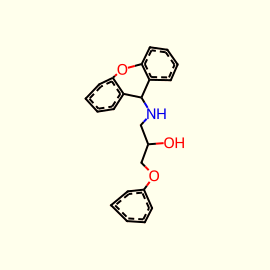 OC(CNC1c2ccccc2Oc2ccccc21)COc1ccccc1